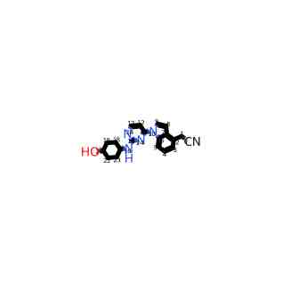 N#CCc1cccc2c1ccn2-c1ccnc(NC2CCC(O)CC2)n1